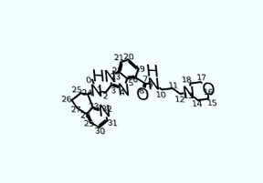 CN(Cc1nc2c(C(=O)NCCCN3CCOCC3)cccc2[nH]1)C1CCCc2cccnc21